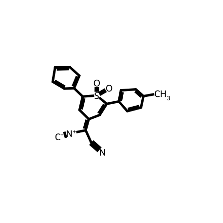 [C-]#[N+]/C(C#N)=C1\C=C(c2ccccc2)S(=O)(=O)C(c2ccc(C)cc2)=C1